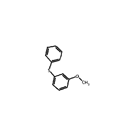 COc1cccc(Sc2ccccc2)c1